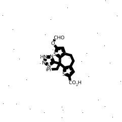 CC(C)CC1(c2nn[nH]n2)c2sc(OC=O)cc2CCc2cc(C(=O)O)sc21